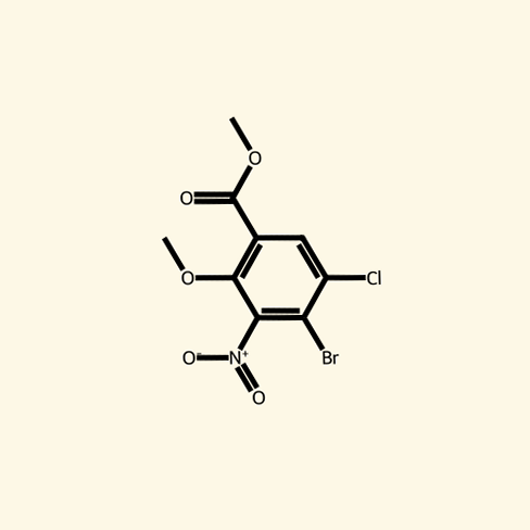 COC(=O)c1cc(Cl)c(Br)c([N+](=O)[O-])c1OC